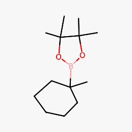 CC1(B2OC(C)(C)C(C)(C)O2)CCCCC1